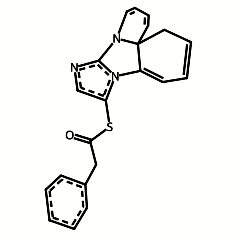 O=C(Cc1ccccc1)Sc1cnc2n1C1=CC=CCC13C=CC=CN23